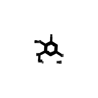 COc1c(F)cc(Cl)cc1NN.Cl